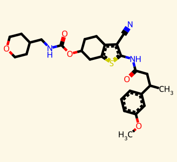 COc1cccc(C(C)CC(=O)Nc2sc3c(c2C#N)CCC(OC(=O)NCC2CCOCC2)C3)c1